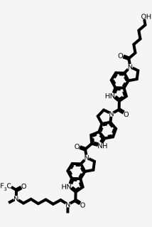 CN(CCCCCCN(C)C(=O)C(F)(F)F)C(=O)c1cc2c3c(ccc2[nH]1)N(C(=O)c1cc2c4c(ccc2[nH]1)N(C(=O)c1cc2c5c(ccc2[nH]1)N(C(=O)CCCCCO)CC5)CC4)CC3